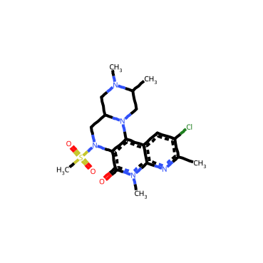 Cc1nc2c(cc1Cl)c1c(c(=O)n2C)N(S(C)(=O)=O)CC2CN(C)C(C)CN12